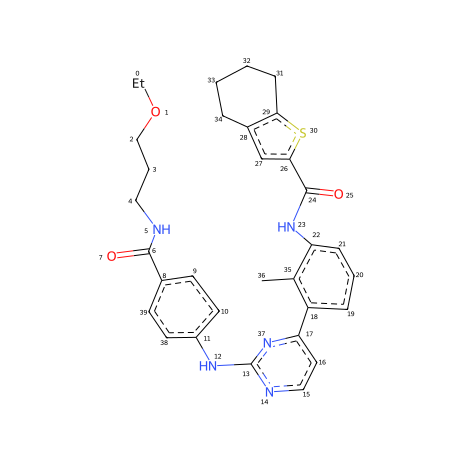 CCOCCCNC(=O)c1ccc(Nc2nccc(-c3cccc(NC(=O)c4cc5c(s4)CCCC5)c3C)n2)cc1